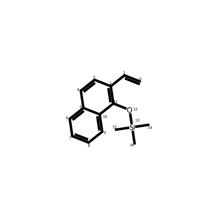 C=Cc1ccc2ccccc2c1O[Si](C)(C)C